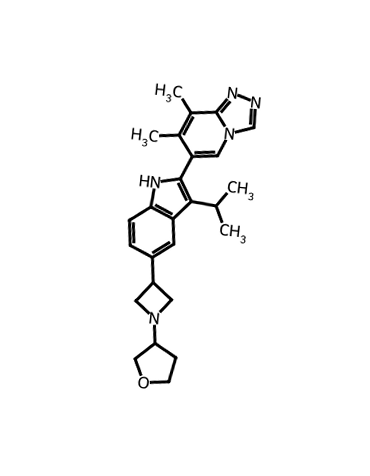 Cc1c(-c2[nH]c3ccc(C4CN(C5CCOC5)C4)cc3c2C(C)C)cn2cnnc2c1C